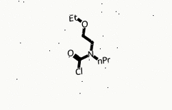 CCCN(CCOCC)C(=O)Cl